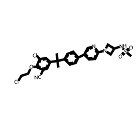 CC(C)(c1ccc(-c2ccc(N3CC(NS(C)(=O)=O)C3)nc2)cc1)c1cc(Cl)c(OCCCl)c(C#N)c1